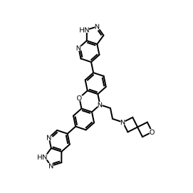 c1cc2c(cc1-c1cnc3[nH]ncc3c1)Oc1cc(-c3cnc4[nH]ncc4c3)ccc1N2CCN1CC2(COC2)C1